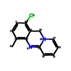 Cc1ccc(Cl)c2c1N=C1C=CC=CN1C2